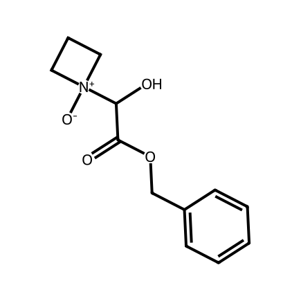 O=C(OCc1ccccc1)C(O)[N+]1([O-])CCC1